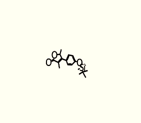 CC1=C(c2ccc(O[Si](C)(C)C(C)(C)C)cc2)C(C)OC1=O